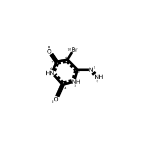 N=Nc1[nH]c(=O)[nH]c(=O)c1Br